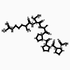 C[C@H](NC(=O)[C@@H](NC(=O)[C@@H](N)CCCNC(=N)N)[C@@H](C)O)C(=O)N1CCC[C@H]1C(=O)N1CCC[C@H]1C(=O)N1CCC[C@H]1C(=O)O